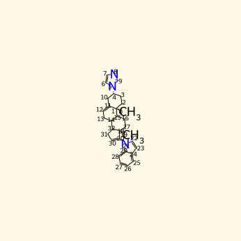 C[C@]12CC[C@@H](n3ccnc3)CC1=CCC1C2CC[C@]2(C)C(n3ccc4ccccc43)=CCC12